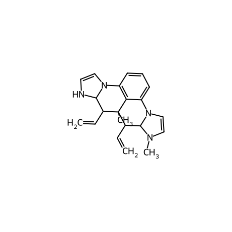 C=CC1C2NC=CN2c2cccc3c2C1(C)C(C=C)C1N(C)C=CN31